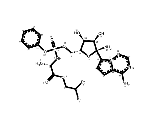 CCC(CC)COC(=O)[C@H](C)NP(=O)(OC[C@H]1O[C@@](N)(c2ccc3c(N)ncnn23)[C@H](O)[C@@H]1O)Oc1ccccc1